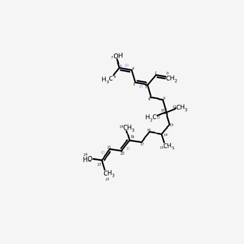 C=C/C(=C\C=C(/C)O)CCC(C)(C)CC(C)CC/C(C)=C/C=C(\C)O